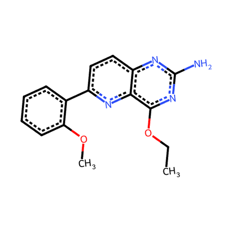 CCOc1nc(N)nc2ccc(-c3ccccc3OC)nc12